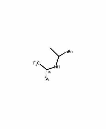 CCCCC(C)N[C@H](C(C)C)C(F)(F)F